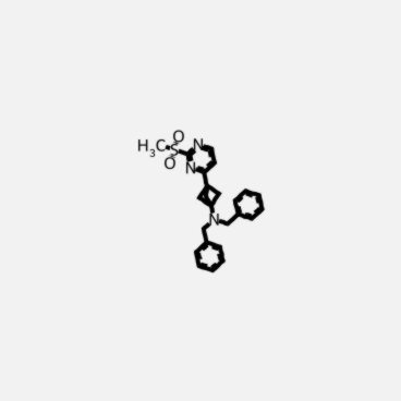 CS(=O)(=O)c1nccc(C23CC(N(Cc4ccccc4)Cc4ccccc4)(C2)C3)n1